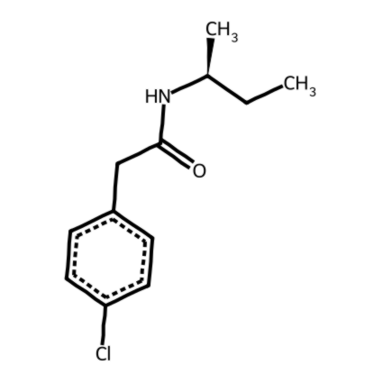 CC[C@H](C)NC(=O)Cc1ccc(Cl)cc1